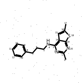 Cc1nc(NCCCc2ccccc2)c2cc(C)sc2n1